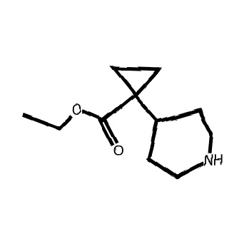 CCOC(=O)C1(C2CCNCC2)CC1